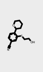 N#Cc1ccc(C2CCCCO2)c(SCCO)c1